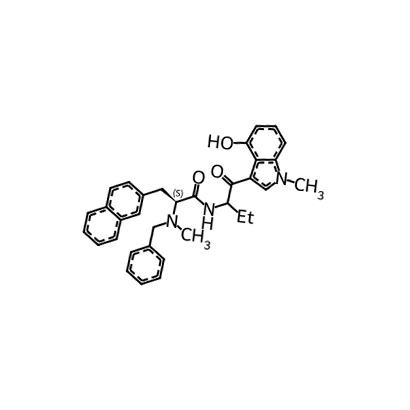 CCC(NC(=O)[C@H](Cc1ccc2ccccc2c1)N(C)Cc1ccccc1)C(=O)c1cn(C)c2cccc(O)c12